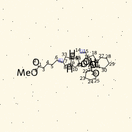 COC(=O)CCC/C=C1\C[C@H]2C[C@H](OC(C)=O)[C@@H](/C=C\C(O)CC3(OC4CCCCO4)CCCCC3)[C@@H]2C1